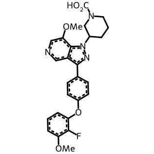 COc1cccc(Oc2ccc(-c3nn(C4CCCN(C(=O)O)C4)c4c(OC)cncc34)cc2)c1F